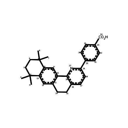 CC1(C)CCC(C)(C)c2cc3c(cc21)CCc1ccc(-c2ccc(C(=O)O)cc2)nc1-3